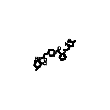 Cc1ccc(NC(=O)CN2CCN(C(=O)c3ccccc3SCC3=NOC(C)C3)CC2)c(Cl)c1